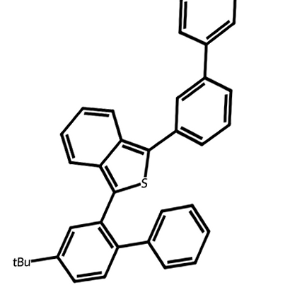 CC(C)(C)c1ccc(-c2ccccc2)c(-c2sc(-c3cccc(-c4ccccc4)c3)c3ccccc23)c1